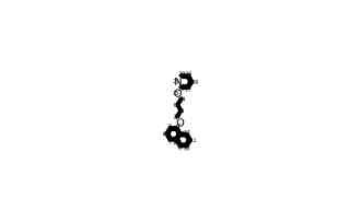 [CH](CCOc1cccc2ccccc12)COc1ccccn1